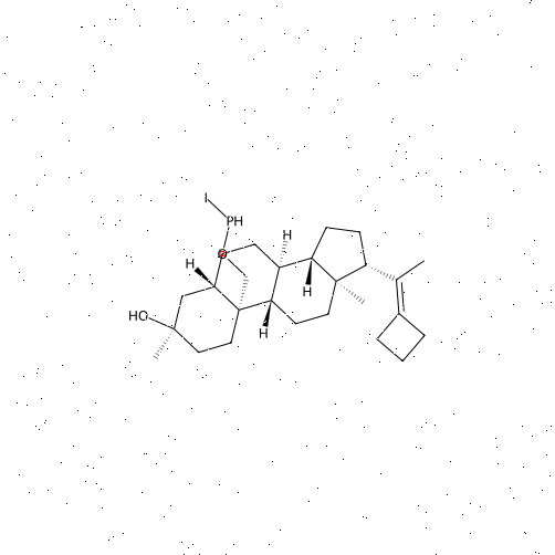 CC(=C1CCC1)[C@H]1CC[C@H]2[C@@H]3CC[C@H]4C[C@](C)(O)CC[C@]4(COPI)[C@H]3CC[C@]12C